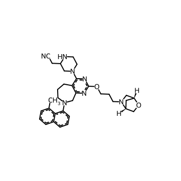 Cc1cccc2cccc(N3CCCc4c(nc(OCCCN5C[C@H]6C[C@@H]5CO6)nc4N4CCNC(CC#N)C4)C3)c12